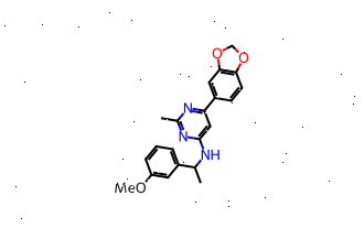 COc1cccc(C(C)Nc2cc(-c3ccc4c(c3)OCO4)nc(C)n2)c1